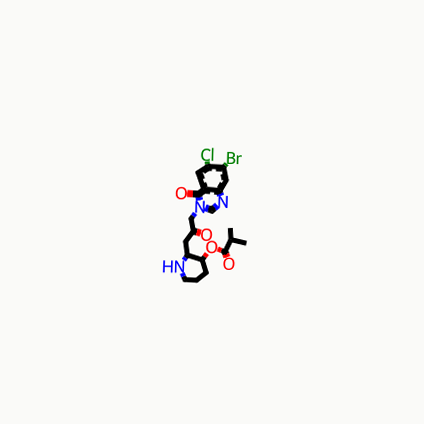 CC(C)C(=O)OC1CCCNC1CC(=O)Cn1cnc2cc(Br)c(Cl)cc2c1=O